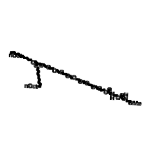 CCCCCCCC/C=C\CCCCCCCCOCC(COCCOCCOCCOCCOCCOCCOCCOCCOCCOCCOC(=O)CNCCOC(=O)CNCCOC)OCCCCCCCC/C=C\CCCCCCCC